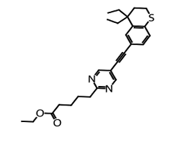 CCOC(=O)CCCCc1ncc(C#Cc2ccc3c(c2)C(CC)(CC)CCS3)cn1